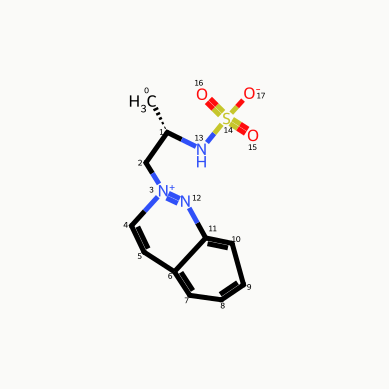 C[C@@H](C[n+]1ccc2ccccc2n1)NS(=O)(=O)[O-]